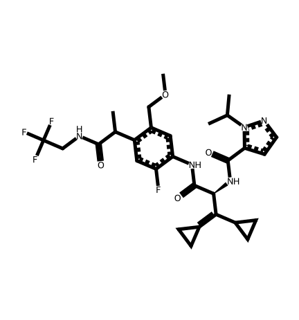 COCc1cc(NC(=O)[C@@H](NC(=O)c2ccnn2C(C)C)C(=C2CC2)C2CC2)c(F)cc1C(C)C(=O)NCC(F)(F)F